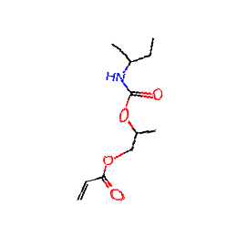 C=CC(=O)OCC(C)OC(=O)NC(C)CC